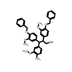 COc1cc(C(c2ccc(OCc3ccccc3)c(OC)c2)C(CO)c2ccc(OCc3ccccc3)c(OC)c2)ccc1C